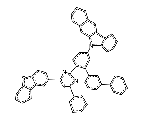 c1ccc(-c2cccc(-c3cc(-n4c5ccccc5c5cc6ccccc6cc54)ccc3-c3nc(-c4ccccc4)nc(-c4ccc5sc6ccccc6c5c4)n3)c2)cc1